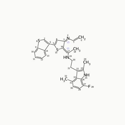 C=C/N=C1/C=C(c2csc3ccccc23)S/C1=C(/C)NCCc1c(C)[nH]c2c(F)ccc(C)c12